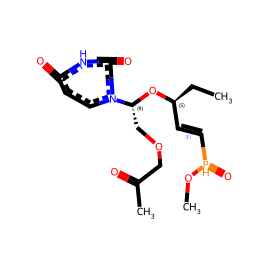 CC[C@@H](/C=C/[PH](=O)OC)O[C@H](COCC(C)=O)n1ccc(=O)[nH]c1=O